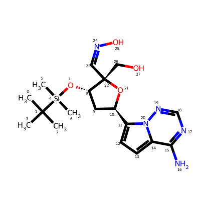 CC(C)(C)[Si](C)(C)O[C@H]1C[C@H](c2ccc3c(N)ncnn23)O[C@]1(/C=N\O)CO